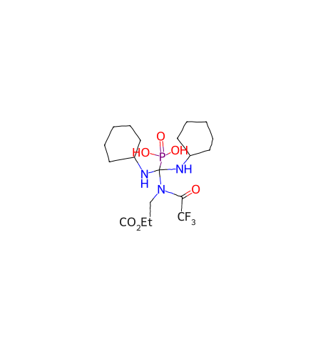 CCOC(=O)CN(C(=O)C(F)(F)F)C(NC1CCCCC1)(NC1CCCCC1)P(=O)(O)O